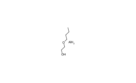 CCCCOCCO.[AlH3]